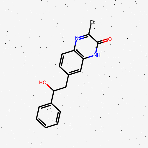 CCc1nc2ccc(CC(O)c3ccccc3)cc2[nH]c1=O